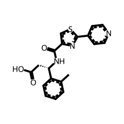 Cc1ccccc1[C@H](CC(=O)O)NC(=O)c1csc(-c2ccncc2)n1